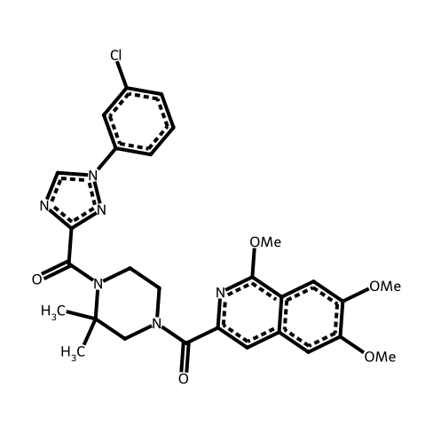 COc1cc2cc(C(=O)N3CCN(C(=O)c4ncn(-c5cccc(Cl)c5)n4)C(C)(C)C3)nc(OC)c2cc1OC